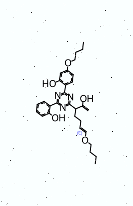 C=C(O)C(CC/C=C/OCCCC)c1nc(-c2ccccc2O)nc(-c2ccc(OCCCC)cc2O)n1